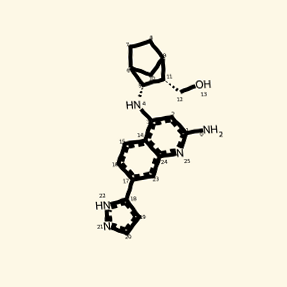 Nc1cc(N[C@@H]2C3CCC(C3)[C@@H]2CO)c2ccc(-c3ccn[nH]3)cc2n1